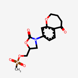 CS(=O)(=O)OCC1CN(c2ccc3c(c2)OCCCC3=O)C(=O)O1